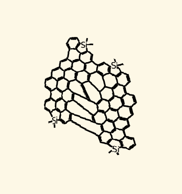 C[Si]1(C)c2cc3c4cc5c6c7c(cccc7c7cc8cc9ccc%10c%11ccc%12c%13c%14c(cc%15c%16cc%17c%18c%19c(cccc%19c%19cc%20cc%21ccc%22c%23ccc1c1c%23c%23c%24c%25c%26c%27c%28c%29c%30c(c3c(c2-1)C%23C%30%26)c1c4c6c7c2c8c3c9c%10c4c(c%11%13)c6c%14c%15c7c8c%16c%18c%19c9c%20c(c%21c%22%24)c%25c(c%27c7c6c%28c4c3c%29c12)c98)[Si]%17(C)C)[Si]%12(C)C)[Si]5(C)C